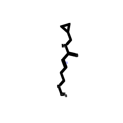 COCC/C=C/C(=O)NCC1CC1